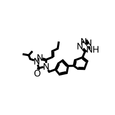 CCC=Cc1nn(CC(C)C)c(=O)n1Cc1ccc(-c2cccc(-c3nnn[nH]3)c2)cc1